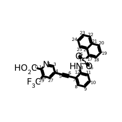 O=C(O)c1ncc(C#Cc2ccccc2NS(=O)(=O)c2cccc3ccccc23)cc1C(F)(F)F